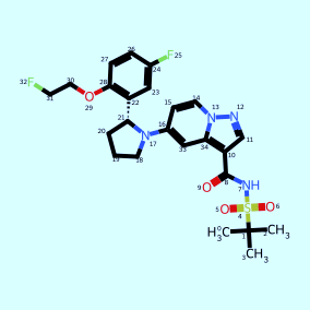 CC(C)(C)S(=O)(=O)NC(=O)c1cnn2ccc(N3CCC[C@@H]3c3cc(F)ccc3OCCF)cc12